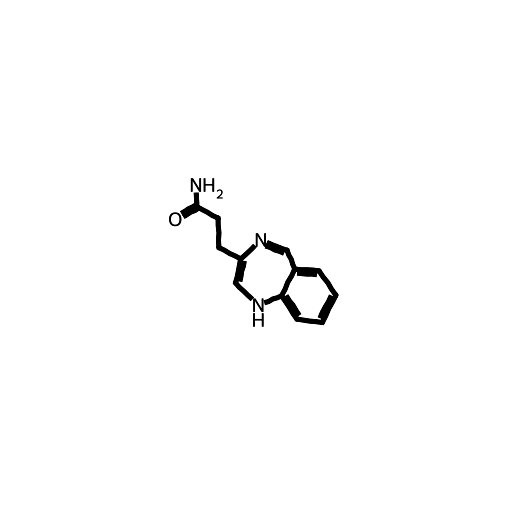 NC(=O)CCC1=CNc2ccccc2C=N1